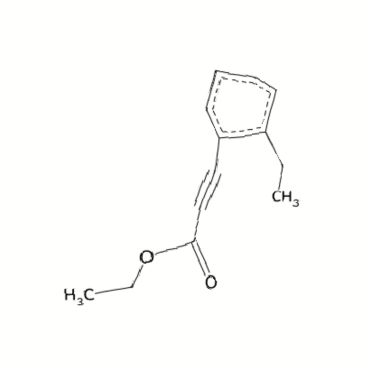 CCOC(=O)C#Cc1ccccc1CC